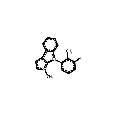 Cc1c(I)cccc1-n1c2ccccc2c2ccn(C)c21